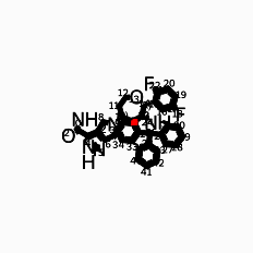 NC(=O)c1[nH]nc2c1CN([C@@H]1CCO[C@H](c3cc(F)ccc3F)[C@@H](NC(c3ccccc3)(c3ccccc3)c3ccccc3)C1)C2